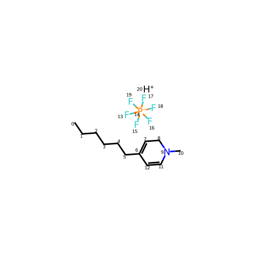 CCCCCCC1=CCN(C)C=C1.F[P-](F)(F)(F)(F)F.[H+]